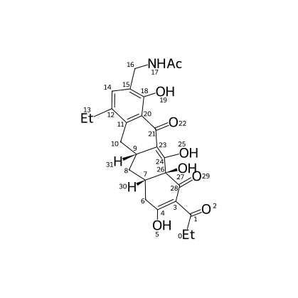 CCC(=O)C1=C(O)C[C@@H]2C[C@@H]3Cc4c(CC)cc(CNC(C)=O)c(O)c4C(=O)C3=C(O)[C@]2(O)C1=O